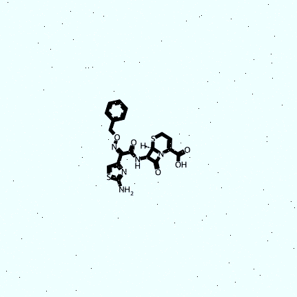 Nc1nc(/C(=N/OCc2ccccc2)C(=O)NC2C(=O)N3C(C(=O)O)=CCS[C@H]23)cs1